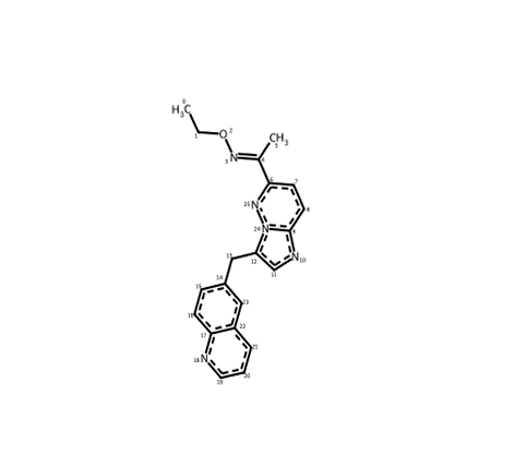 CCON=C(C)c1ccc2ncc(Cc3ccc4ncccc4c3)n2n1